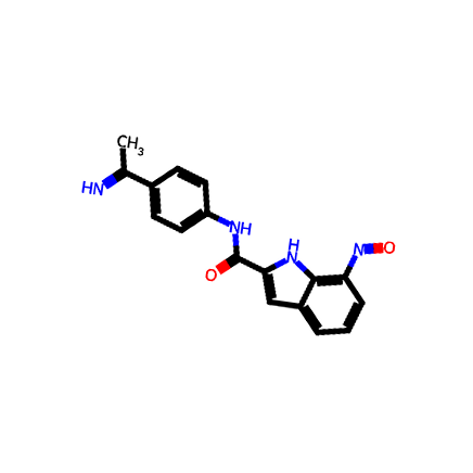 CC(=N)c1ccc(NC(=O)c2cc3cccc(N=O)c3[nH]2)cc1